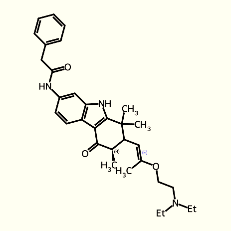 CCN(CC)CCO/C(C)=C/C1[C@@H](C)C(=O)c2c([nH]c3cc(NC(=O)Cc4ccccc4)ccc23)C1(C)C